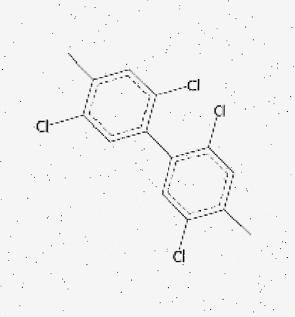 Cc1cc(Cl)c(-c2cc(Cl)c(C)cc2Cl)cc1Cl